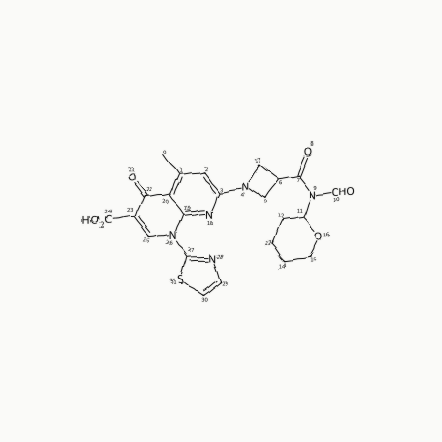 Cc1cc(N2CC(C(=O)N(C=O)C3CCCCO3)C2)nc2c1c(=O)c(C(=O)O)cn2-c1nccs1